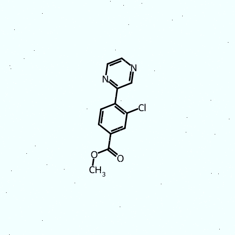 COC(=O)c1ccc(-c2cnccn2)c(Cl)c1